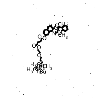 CCCC[Si](C)(C)O[Si](C)(C)CCCOCCOC(=O)CCC(=O)Oc1ccc2ccc3c(c2c1)N=CC1(O3)N(C)c2ccccc2C1(C)C